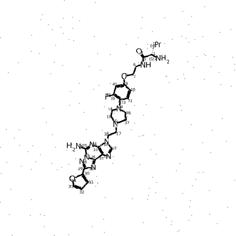 CC(C)[C@H](N)C(=O)NCCOc1ccc(N2CCN(CCn3cnc4c3nc(N)n3nc(-c5ccco5)nc43)CC2)c(F)c1